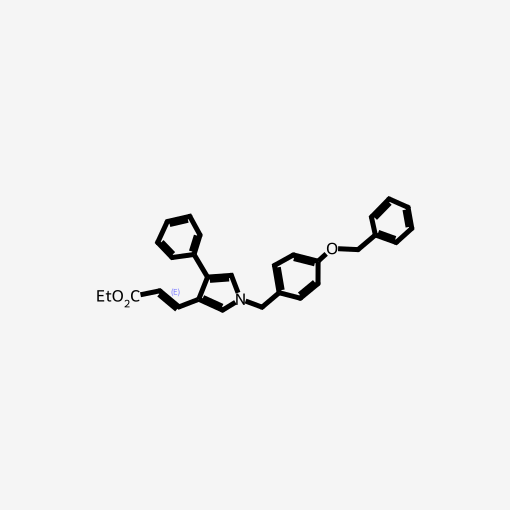 CCOC(=O)/C=C/c1cn(Cc2ccc(OCc3ccccc3)cc2)cc1-c1ccccc1